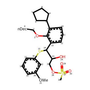 CCCCCCCCCCCOc1c(C2CCCC2)cccc1C(Sc1cccc(OC)c1)C(O)COS(C)(=O)=O